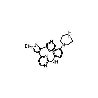 CCn1cc(-c2ccnc(Nc3ccc(N4CCCNCC4)cc3)n2)c(-c2cccnc2)n1